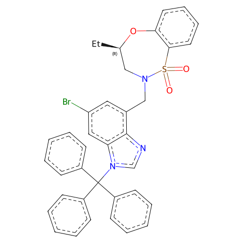 CC[C@@H]1CN(Cc2cc(Br)cc3c2ncn3C(c2ccccc2)(c2ccccc2)c2ccccc2)S(=O)(=O)c2ccccc2O1